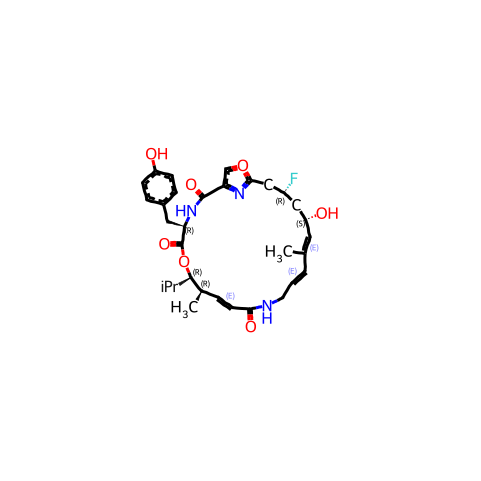 CC1=C\[C@@H](O)C[C@@H](F)Cc2nc(co2)C(=O)N[C@H](Cc2ccc(O)cc2)C(=O)O[C@H](C(C)C)[C@H](C)/C=C/C(=O)NC\C=C\1